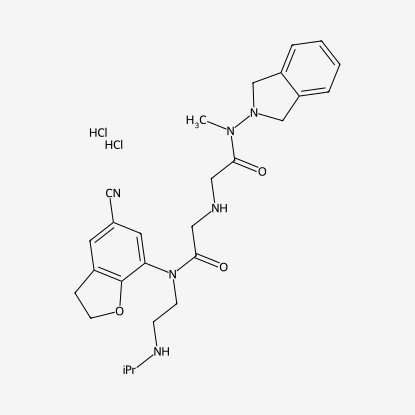 CC(C)NCCN(C(=O)CNCC(=O)N(C)N1Cc2ccccc2C1)c1cc(C#N)cc2c1OCC2.Cl.Cl